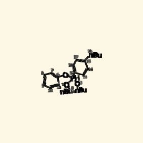 CCCCO[PH](OCCCC)(Oc1ccccc1)c1ccc(CCCC)cc1